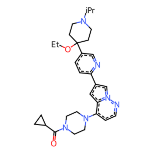 CCOC1(c2ccc(-c3cc4c(N5CCN(C(=O)C6CC6)CC5)ccnn4c3)nc2)CCN(C(C)C)CC1